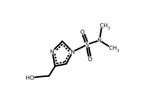 CN(C)S(=O)(=O)n1cnc(CO)c1